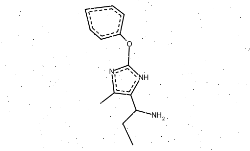 CCC(N)c1[nH]c(Oc2ccccc2)nc1C